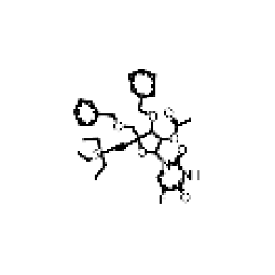 CC[Si](C#CC1(COCc2ccccc2)OC(n2cc(F)c(=O)[nH]c2=O)C(OC(C)=O)C1OCc1ccccc1)(CC)CC